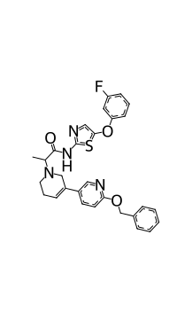 CC(C(=O)Nc1ncc(Oc2cccc(F)c2)s1)N1CCC=C(c2ccc(OCc3ccccc3)nc2)C1